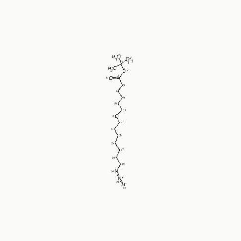 CC(C)(C)OC(=O)CCCCCOCCCCCCCN=[N+]=[N-]